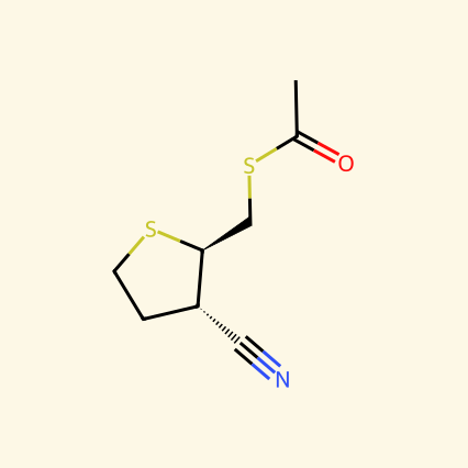 CC(=O)SC[C@@H]1SCC[C@H]1C#N